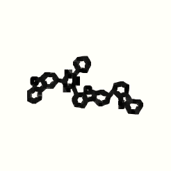 c1ccc(-c2nc(-c3ccc4oc5ccccc5c4c3)nc(-c3cccc4c3oc3cc(-c5cccc6c5sc5ccccc56)ccc34)n2)cc1